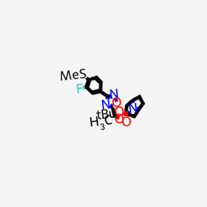 CSc1ccc(-c2noc([C@@H](C)OC3CC4CCC(C3)N4C(=O)OC(C)(C)C)n2)cc1F